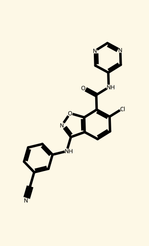 N#Cc1cccc(Nc2noc3c(C(=O)Nc4cncnc4)c(Cl)ccc23)c1